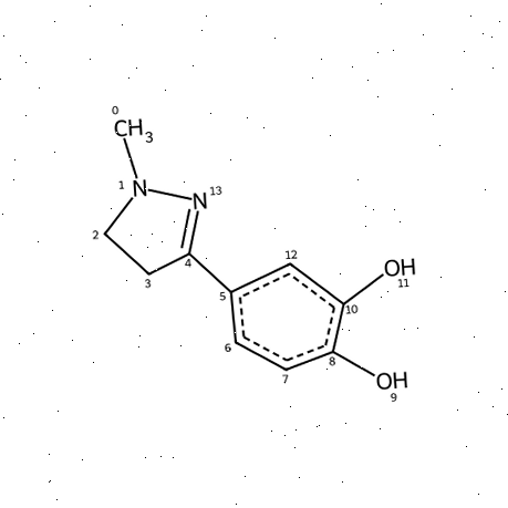 CN1CCC(c2ccc(O)c(O)c2)=N1